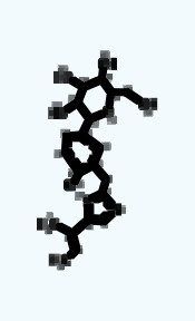 CC=C(C)c1cnc(Cc2cc(C3OC(CO)C(O)C(O)C3O)ccc2Cl)s1